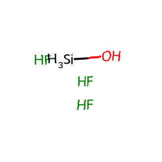 F.F.F.O[SiH3]